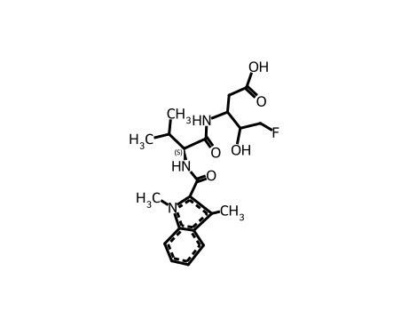 Cc1c(C(=O)N[C@H](C(=O)NC(CC(=O)O)C(O)CF)C(C)C)n(C)c2ccccc12